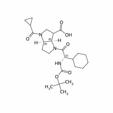 CC(C)(C)OC(=O)N[C@H](C(=O)N1CC[C@@H]2[C@H]1C(C(=O)O)CN2C(=O)C1CC1)C1CCCCC1